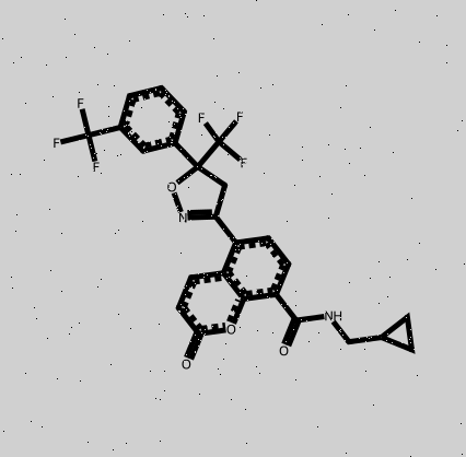 O=C(NCC1CC1)c1ccc(C2=NOC(c3cccc(C(F)(F)F)c3)(C(F)(F)F)C2)c2ccc(=O)oc12